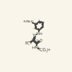 CC(=O)Nc1cccc(NN=C(C#N)C(=O)NC(=O)O)c1